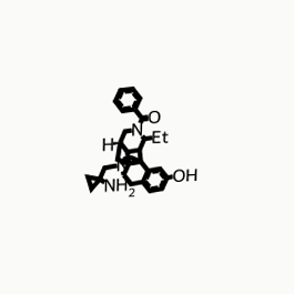 CCC1C2C3[C@@H](CN1C(=O)c1ccccc1)CC31C3Cc4ccc(O)cc4C21CCN3CC1(N)CC1